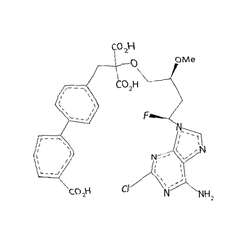 CO[C@H](COC(Cc1ccc(-c2cccc(C(=O)O)c2)cc1)(C(=O)O)C(=O)O)C[C@H](F)n1cnc2c(N)nc(Cl)nc21